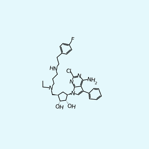 CCN(CCCNCCc1ccc(F)cc1)C[C@H]1C[C@@H](n2cc(-c3ccccc3)c3c(N)nc(Cl)nc32)[C@H](O)[C@@H]1O